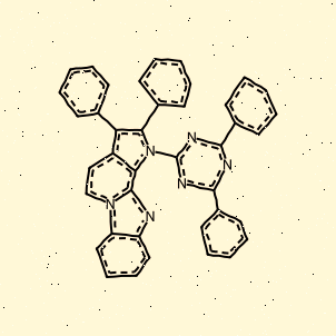 c1ccc(-c2nc(-c3ccccc3)nc(-n3c(-c4ccccc4)c(-c4ccccc4)c4ccn5c6ccccc6nc5c43)n2)cc1